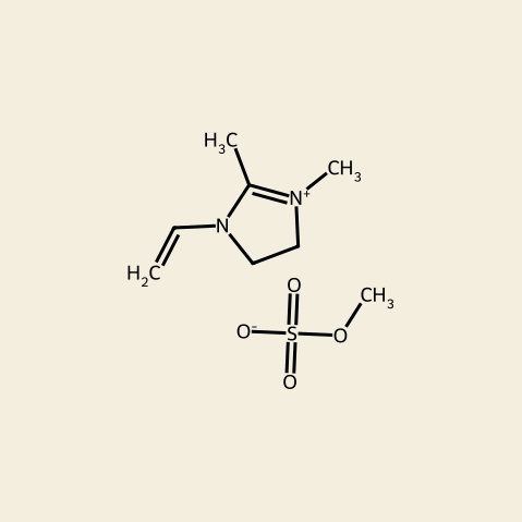 C=CN1CC[N+](C)=C1C.COS(=O)(=O)[O-]